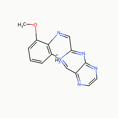 COc1cccc(C)c1/N=C\c1ncc2nccnc2n1